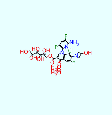 Nc1nc(-n2cc(C(=O)OC[C@H](O)[C@@H](O)[C@H](O)[C@H](O)CO)c(=O)c3cc(F)c(N4CC(O)C4)c(Cl)c32)c(F)cc1F.O.O.O